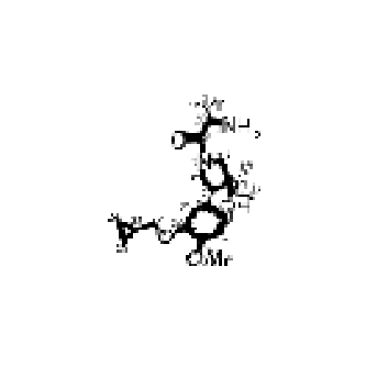 COc1ccc([C@@H]2CN(C(=O)[C@H](N)C(C)C)C[C@@]2(C)[C@@H](C)O)cc1OCC1CC1